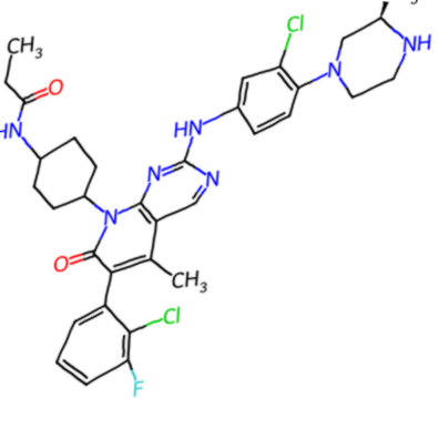 CCC(=O)NC1CCC(n2c(=O)c(-c3cccc(F)c3Cl)c(C)c3cnc(Nc4ccc(N5CCN[C@H](C)C5)c(Cl)c4)nc32)CC1